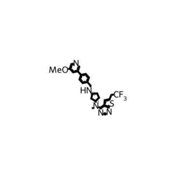 COc1cncc(-c2ccc(CN[C@H]3CC[C@@H](N(C)c4ncnc5sc(CC(F)(F)F)cc45)C3)cc2)c1